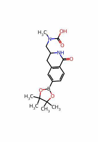 CN(CC1Cc2cc(B3OC(C)(C)C(C)(C)O3)ccc2C(=O)N1)C(=O)O